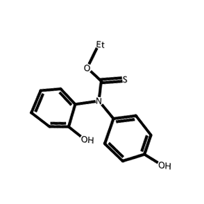 CCOC(=S)N(c1ccc(O)cc1)c1ccccc1O